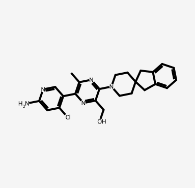 Cc1nc(N2CCC3(CC2)Cc2ccccc2C3)c(CO)nc1-c1cnc(N)cc1Cl